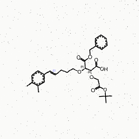 Cc1ccc(/C=C/CCCO[C@@H](C(=O)OCc2ccccc2)[C@@H](OCC(=O)OC(C)(C)C)C(=O)O)cc1C